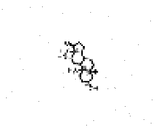 C[C@]12CC[C@H](O)C[C@H]1CCC1C2C[C@H](O)[C@]2(C)C(=O)CCC12